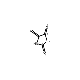 C=C1NC(=O)SC1=O